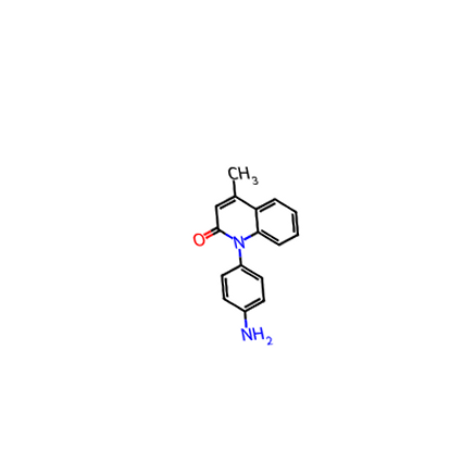 Cc1cc(=O)n(-c2ccc(N)cc2)c2ccccc12